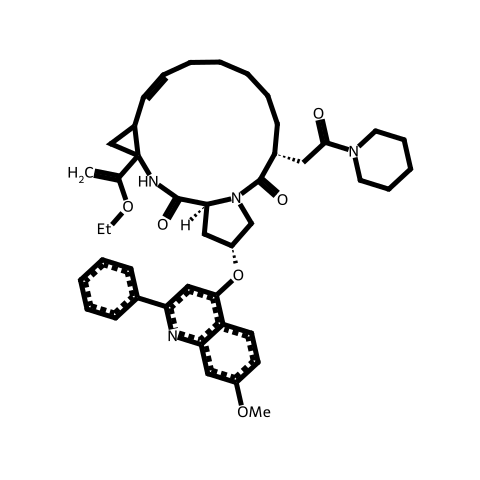 C=C(OCC)C12CC1/C=C\CCCCC[C@H](CC(=O)N1CCCCC1)C(=O)N1C[C@H](Oc3cc(-c4ccccc4)nc4cc(OC)ccc34)C[C@H]1C(=O)N2